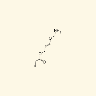 C=CC(=O)OCC=COCN